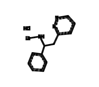 CCNC(Cc1cccnn1)c1ccccc1.Cl